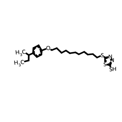 CCC(C)c1ccc(OCCCCCCCCCCCSc2nnc(S)s2)cc1